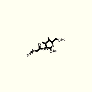 CC(=O)OCC1SC(OC(C)=O)C(NC(=O)CN=[N+]=[N-])C(C)C1C